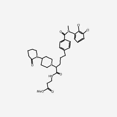 COC(=O)CCNC(=O)C(CCCc1ccc(C(=O)N(C)c2cccc(Cl)c2Cl)cc1)N1CCC(N2CCCCC2=O)CC1